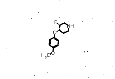 COc1ccc(O[C@@H]2CCNC[C@@H]2F)cc1